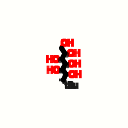 CC(C)(C)[CH]C(O)[C@@H](O)[C@@H](O)[C@H](O)[C@H](O)CO